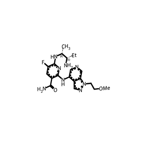 CC[C@H](N)[C@@H](C)Nc1nc(Nc2cncc3c2cnn3CCOC)c(C(N)=O)cc1F